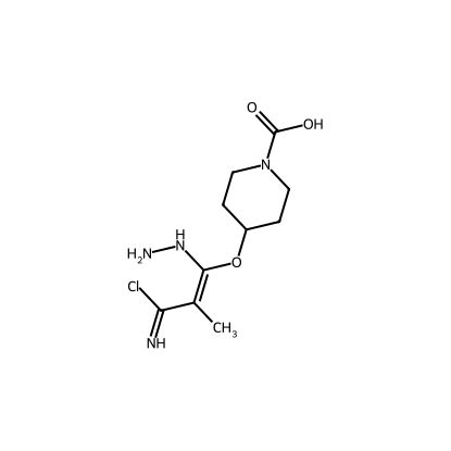 C/C(C(=N)Cl)=C(/NN)OC1CCN(C(=O)O)CC1